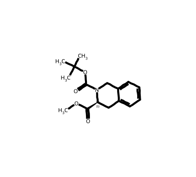 COC(=O)[C@@H]1Cc2ccccc2CN1C(=O)OC(C)(C)C